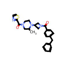 CC1CN(C(=O)c2nccs2)CCN1C1CN(C(=O)c2ccc(Cc3ccccc3)cc2)C1